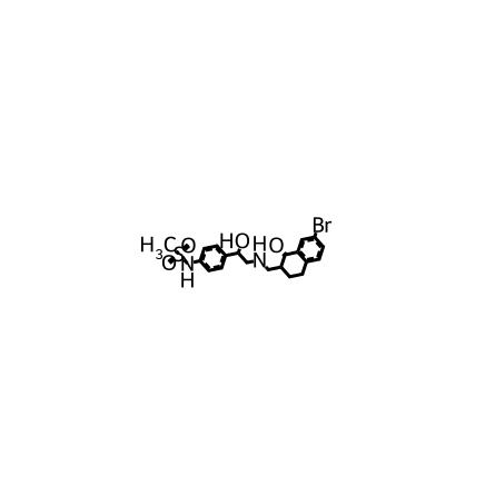 CS(=O)(=O)Nc1ccc(C(O)CNCC2CCc3ccc(Br)cc3C2=O)cc1